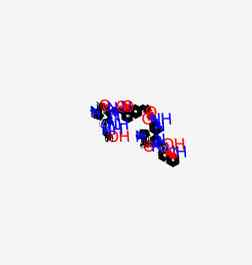 C[C@H](O)CN/C=C\C(=N)c1cc(O[C@@H](C)[C@@H]2CCCN2C)nc(-c2onc3c2CCC[C@@]32CCC(CC(C)(C)OC(=O)Nc3ccc(-c4cc(O[C@@H](C)[C@@H]5CCCN5C)nc(/C(O)=C5\CCC[C@@]6(CCCCC6=O)C5=N)n4)cn3)CC2=O)n1